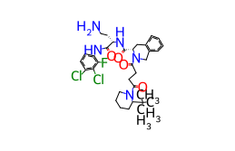 CC(C)(C)C1CCCCN1C(=O)CCC(=O)N1Cc2ccccc2C[C@H]1C(=O)N[C@@H](CCN)C(=O)Nc1ccc(Cl)c(Cl)c1F